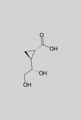 O=C(O)[C@H]1C[C@@H]1[C@H](O)CO